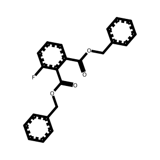 O=C(OCc1ccccc1)c1cccc(F)c1C(=O)OCc1ccccc1